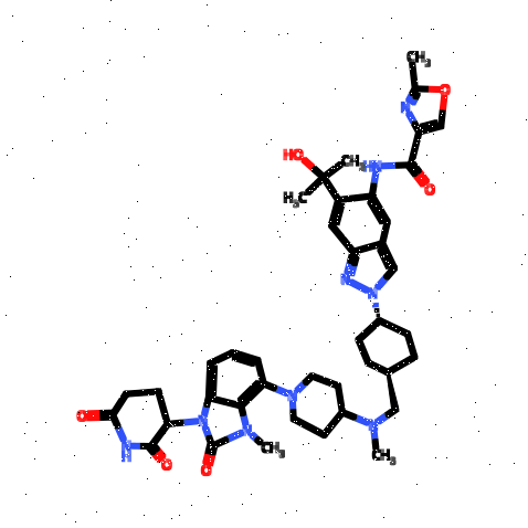 Cc1nc(C(=O)Nc2cc3cn([C@H]4CC[C@H](CN(C)C5CCN(c6cccc7c6n(C)c(=O)n7C6CCC(=O)NC6=O)CC5)CC4)nc3cc2C(C)(C)O)co1